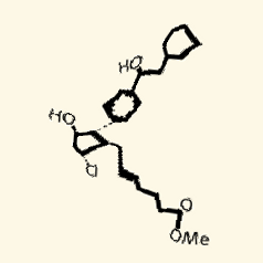 COC(=O)CCCC=CC[C@@H]1[C@@H](c2ccc(C(O)CC3CCCCC3)cc2)[C@H](O)C[C@H]1Cl